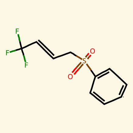 O=S(=O)(CC=CC(F)(F)F)c1cc[c]cc1